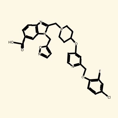 O=C(O)c1ccc2nc(CN3CCC(Oc4ccnc(COc5ccc(Cl)cc5F)c4)CC3)n(Cc3ccno3)c2c1